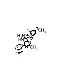 COc1ccc(S(=O)(=O)c2c(N)[nH]c3c(N4CCO[C@@H](C(F)(F)F)C4)nc(C)nc23)c(F)c1